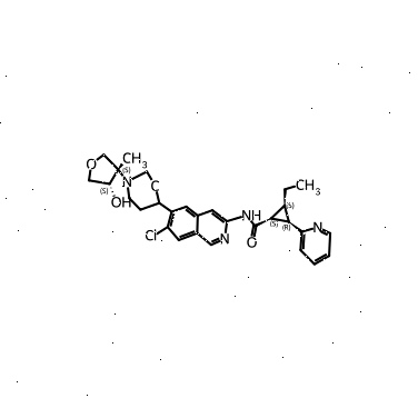 CC[C@@H]1[C@H](C(=O)Nc2cc3cc(C4CCN([C@@]5(C)COC[C@H]5O)CC4)c(Cl)cc3cn2)[C@@H]1c1ccccn1